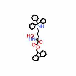 O=C(OCC1c2ccccc2-c2ccccc21)C(=O)[C@H](CCCCNC(c1ccccc1)(c1ccccc1)c1ccccc1)NO